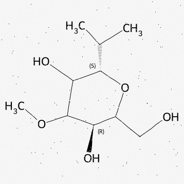 COC1C(O)[C@H](C(C)C)OC(CO)[C@H]1O